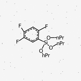 CCCO[Si](OCCC)(OCCC)c1cc(F)c(F)cc1F